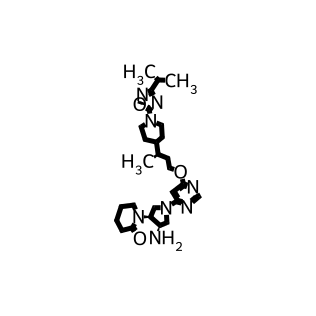 CC(C)c1noc(N2CCC([C@H](C)CCOc3cc(N4C[C@H](N)[C@@H](N5CCCCC5=O)C4)ncn3)CC2)n1